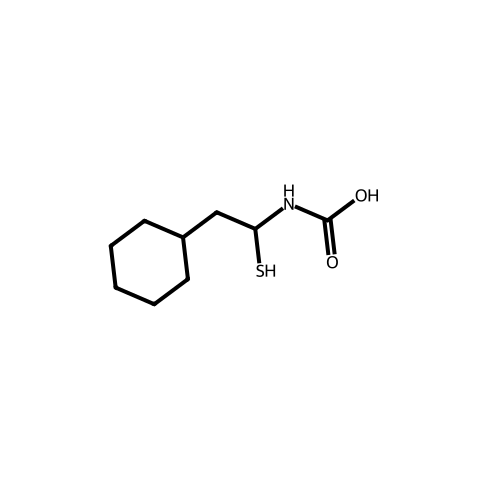 O=C(O)NC(S)CC1CCCCC1